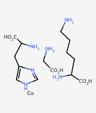 NC(Cc1c[nH]cn1)C(=O)O.NCC(=O)O.NCCCCC(N)C(=O)O.[Cu]